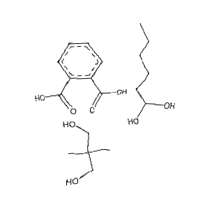 CC(C)(CO)CO.CCCCCC(O)O.O=C(O)c1ccccc1C(=O)O